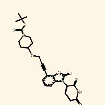 CC(C)(C)OC(=O)N1CCC(OCC#Cc2cccc3c2oc(=O)n3C2CCC(=O)NC2=O)CC1